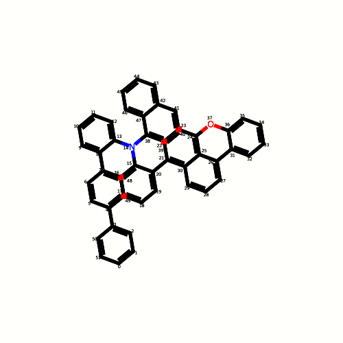 c1ccc(-c2ccc(-c3ccccc3N(c3ccccc3-c3ccc4c5c(cccc35)-c3ccccc3O4)c3cccc4ccccc34)cc2)cc1